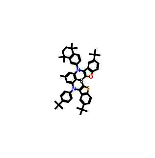 Cc1cc2c3c(c1)N(c1ccc(C(C)(C)C)cc1)c1c(sc4ccc(C(C)(C)C)cc14)B3c1oc3ccc(C(C)(C)C)cc3c1N2c1ccc2c(c1)C(C)(C)CCC2(C)C